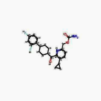 NC(=O)OCc1ccc(C2CC2)c(C(=O)C2CCC(c3ccc(F)cc3F)CC2)n1